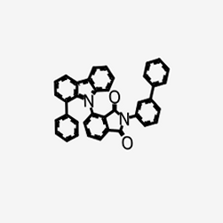 O=C1c2cccc(-n3c4ccccc4c4cccc(-c5ccccc5)c43)c2C(=O)N1c1cccc(-c2ccccc2)c1